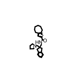 O=C(NCC1(CN2CCCC2)Cc2ccccc2C1)c1cc2c(s1)CCCCCC2